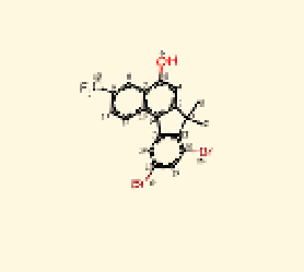 CC1(C)c2cc(O)c3cc(C(F)(F)F)ccc3c2-c2cc(Br)cc(Br)c21